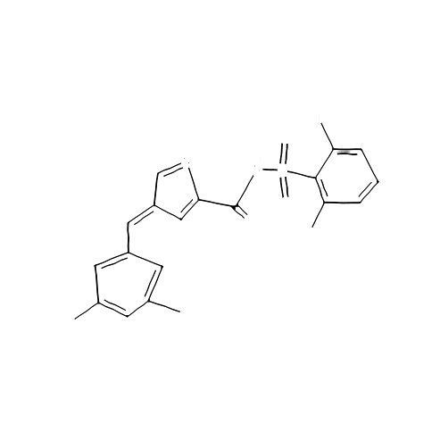 O=C(NS(=O)(=O)c1c(Cl)cccc1Cl)C1=C/C(=C\c2cc(Br)cc(Br)c2)C=N1